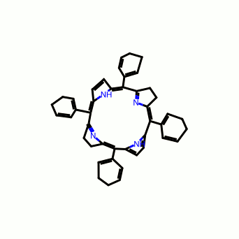 C1=CC(c2c3nc(c(C4=CCCC=C4)c4ccc([nH]4)c(C4=CCCC=C4)c4nc(c(C5=CCCC=C5)c5ccc2[nH]5)CC4)CC3)=CCC1